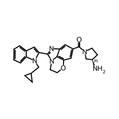 N[C@@H]1CCN(C(=O)c2cc3c4c(c2)nc(-c2cc5ccccc5n2CC2CC2)n4CCO3)C1